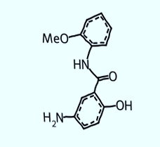 COc1ccccc1NC(=O)c1cc(N)ccc1O